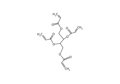 C=CC(=O)OCC(OC(=O)C=C)C(COC(=O)C=C)OC(=O)C=C